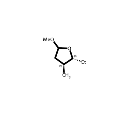 CC[C@H]1OC(OC)C[C@@H]1C